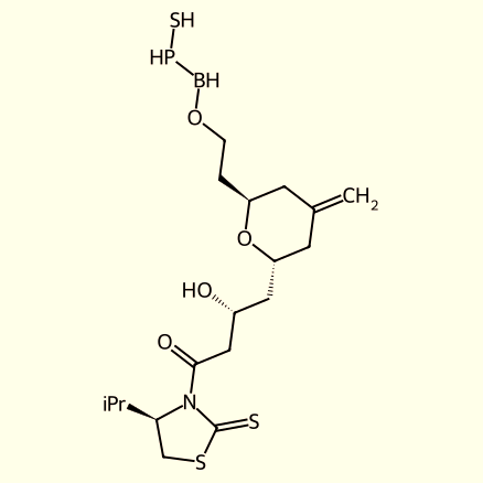 C=C1C[C@H](C[C@@H](O)CC(=O)N2C(=S)SC[C@H]2C(C)C)O[C@@H](CCOBPS)C1